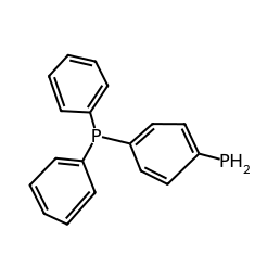 Pc1ccc(P(c2ccccc2)c2ccccc2)cc1